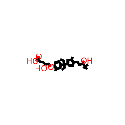 CCC(CC)(c1ccc(CCC(O)C(C)(C)C)c(C)c1)c1ccc(OCC(O)CCC(=O)O)c(C)c1